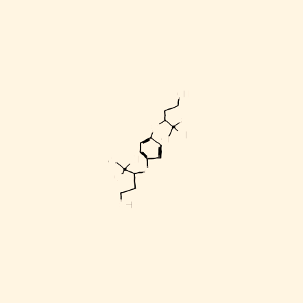 CCCC(Oc1ccc(OC(CCC)C(Cl)(Cl)Cl)cc1)C(Cl)(Cl)Cl